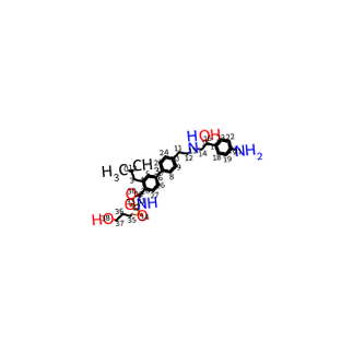 CC(C)Cc1cc(-c2ccc(CCNC[C@@H](O)c3ccc(N)cc3)cc2)ccc1C(=O)NS(=O)(=O)CCCO